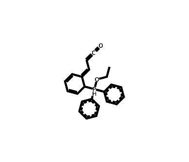 CCO[PH](c1ccccc1)(c1ccccc1)C1C=CC=CC1=CC=C=O